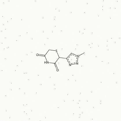 Cn1cc(C2SCC(=O)NC2=O)nn1